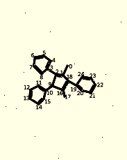 CC1=C(c2ccccc2)C(c2ccccc2)C(C)=C1c1ccccc1